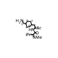 CN[C@H](C(=O)N[C@@H](CC1CCC(CN)CC1)C(C)=O)C(C)C